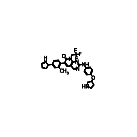 Cc1cc(C2CCCN2)ccc1-c1cc2cnc(Nc3ccc(OC4CCNC4)cc3)nc2n(CC(F)(F)F)c1=O